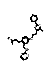 Cc1oc(-c2ccccc2)nc1CCOc1ccc(CCC(=O)O)c(CNc2ncccn2)c1